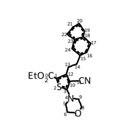 CCOC(=O)c1sc(N2CCOCC2)c(C#N)c1CCc1ccc2ccccc2c1